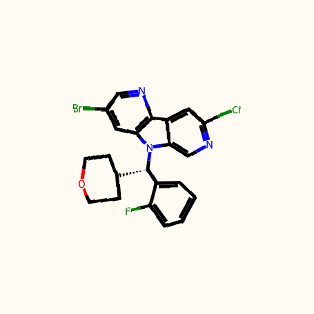 Fc1ccccc1[C@H](C1CCOCC1)n1c2cnc(Cl)cc2c2ncc(Br)cc21